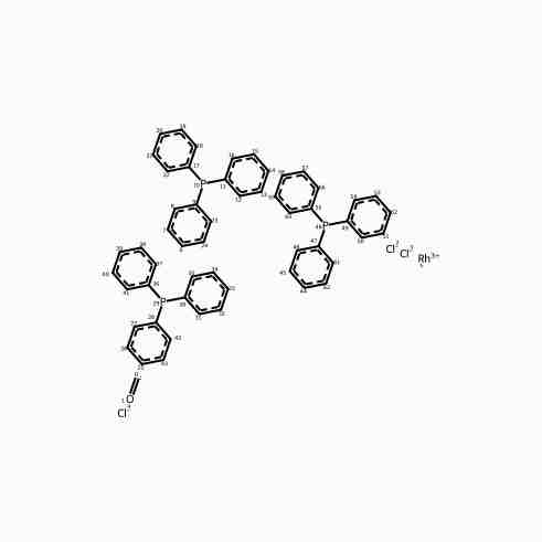 [C]=O.[Cl-].[Cl-].[Cl-].[Rh+3].c1ccc(P(c2ccccc2)c2ccccc2)cc1.c1ccc(P(c2ccccc2)c2ccccc2)cc1.c1ccc(P(c2ccccc2)c2ccccc2)cc1